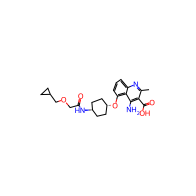 Cc1nc2cccc(O[C@H]3CC[C@H](NC(=O)COCC4CC4)CC3)c2c(N)c1C(=O)O